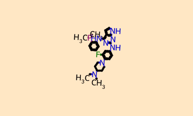 CCN(CC)C1CCN(c2ccc(Nc3nc(Nc4ccccc4P(C)C)c4cc[nH]c4n3)cc2F)CC1